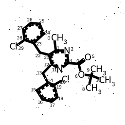 Cc1nc(C(=O)OC(C)(C)C)nc(Cc2ccccc2Cl)c1Cc1ccccc1Cl